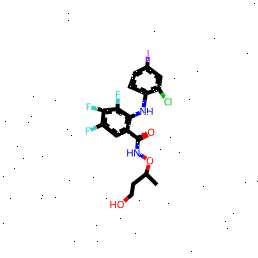 CC(CCO)ONC(=O)c1cc(F)c(F)c(F)c1Nc1ccc(I)cc1Cl